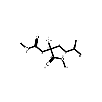 COC(=O)CC(O)(CCC(C)C)C(=O)OC